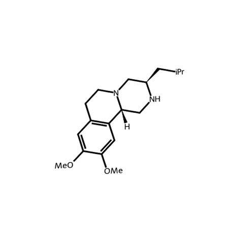 COc1cc2c(cc1OC)[C@H]1CN[C@H](CC(C)C)CN1CC2